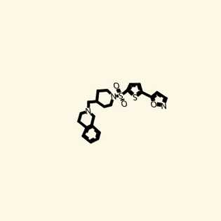 O=S(=O)(c1ccc(-c2ccno2)s1)N1CCC(CN2CCc3ccccc3C2)CC1